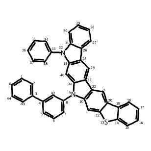 c1ccc(-c2cccc(-n3c4cc5sc6ccccc6c5cc4c4cc5c6ccccc6n(-c6ccccc6)c5cc43)c2)cc1